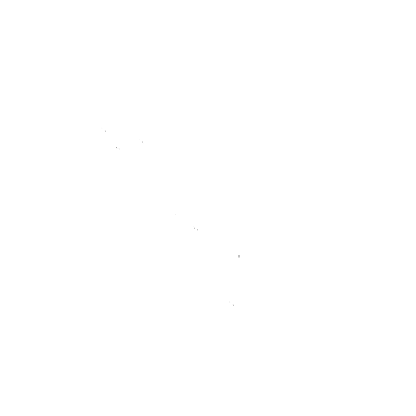 O=C(NCC(O)CN1CCc2ccccc2C1)c1cccc(-n2nnc3ccccc32)c1